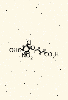 O=Cc1cc(Cl)c(OCCCCC(=O)O)cc1[N+](=O)[O-]